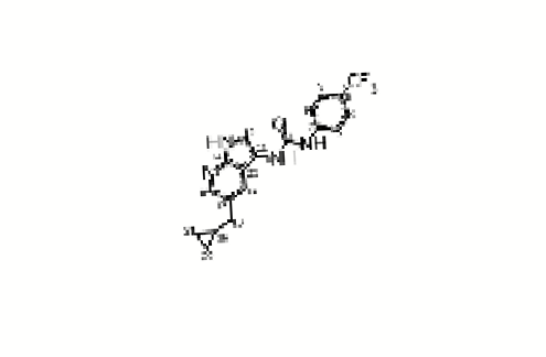 O=C(Nc1ccc(C(F)(F)F)cc1)Nc1c[nH]c2ncc(CC3CC3)cc12